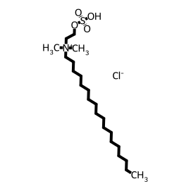 CCCCCCCCCCCCCCCCCC[N+](C)(C)CCOS(=O)(=O)O.[Cl-]